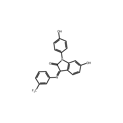 O=C1C(=Nc2cccc(C(F)(F)F)c2)c2ccc(O)cc2N1c1ccc(O)cc1